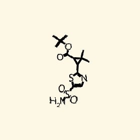 CC(C)(C)OC(=O)C1C(c2ncc(S(N)(=O)=O)s2)C1(C)C